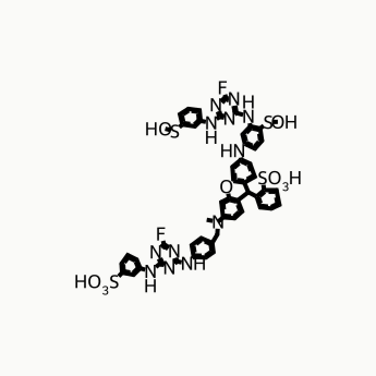 CN(Cc1ccc(Nc2nc(F)nc(Nc3cccc(S(=O)(=O)O)c3)n2)cc1)c1ccc2c(c1)Oc1cc(Nc3ccc(SO)c(Nc4nc(F)nc(Nc5cccc(SO)c5)n4)c3)ccc1C2c1ccccc1S(=O)(=O)O